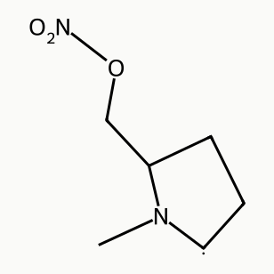 CN1[CH]CCC1CO[N+](=O)[O-]